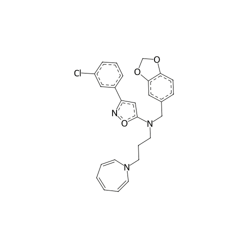 Clc1cccc(-c2cc(N(CCCN3C=CC=CC=C3)Cc3ccc4c(c3)OCO4)on2)c1